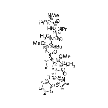 CC[C@H](C)[C@@H]([C@@H](CC(=O)N1CCC[C@H]1[C@H](OC)[C@@H](C)C(=O)C[C@@H](Cc1ccccc1)c1nccs1)OC)N(C)C(=O)[C@@H](NC(=O)[C@@H](NC)C(C)C)C(C)C